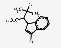 CC(C)(Cl)C(C(=O)O)C1C=C(Cl)c2ccccc21